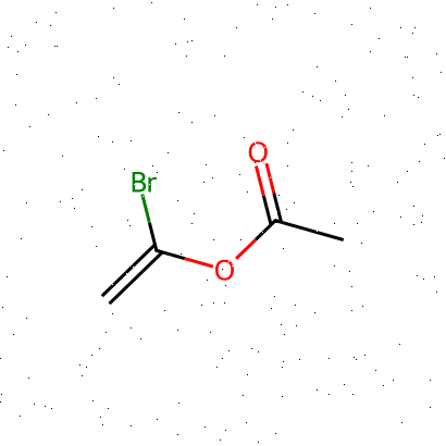 C=C(Br)OC(C)=O